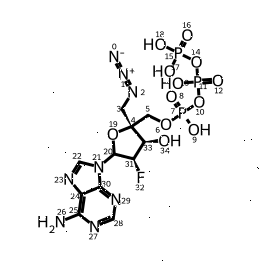 [N-]=[N+]=NC[C@]1(COP(=O)(O)OP(=O)(O)OP(=O)(O)O)OC(n2cnc3c(N)ncnc32)[C@H](F)[C@@H]1O